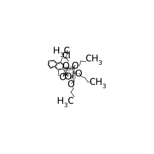 CCCCOC[C@H]1O[C@]2(OCc3c2cc(CCl)c2ccccc32)[C@H](OCCCC)[C@@H](OCCCC)[C@@H]1OCCCC